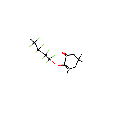 CC1=C(OC(F)(F)C(F)(F)C(F)(F)C(C)(F)F)C(=O)CC(C)(C)C1